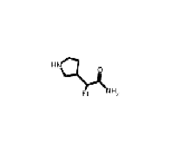 CCC(C(N)=O)C1CCNC1